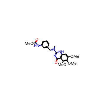 COC(=O)Nc1cccc(CN(C)c2nc(=O)c3c(OC)c(OC)c(OC)cc3[nH]2)c1